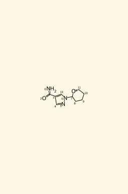 NC(=O)c1cnn(C2CCCCO2)c1